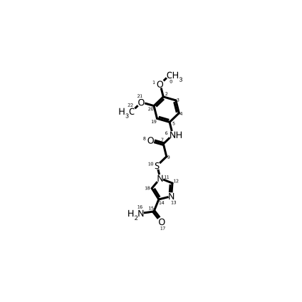 COc1ccc(NC(=O)CSn2cnc(C(N)=O)c2)cc1OC